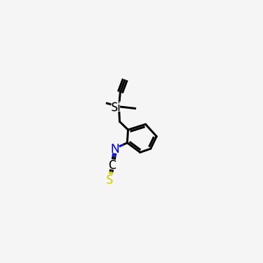 C#C[Si](C)(C)Cc1ccccc1N=C=S